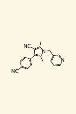 Cc1c(C#N)c(-c2ccc(C#N)cc2)c(C)n1Cc1cccnc1